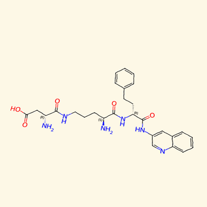 N[C@H](CC(=O)O)C(=O)NCCC[C@H](N)C(=O)N[C@H](CCc1ccccc1)C(=O)Nc1cnc2ccccc2c1